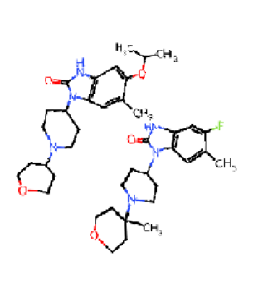 Cc1cc2c(cc1F)[nH]c(=O)n2C1CCN(C2(C)CCOCC2)CC1.Cc1cc2c(cc1OC(C)C)[nH]c(=O)n2C1CCN(C2CCOCC2)CC1